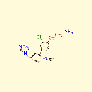 [C-]#[N+]c1ccc(Cn2cncn2)cc1-c1ccc(OSOON)c(Cl)c1